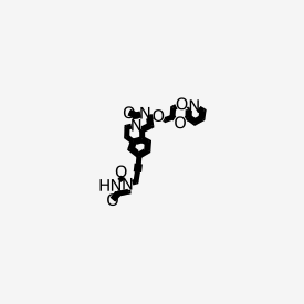 O=C1CN(CC#Cc2ccc3c(c2)CCn2c-3cc(OCC3COc4ncccc4O3)nc2=O)C(=O)N1